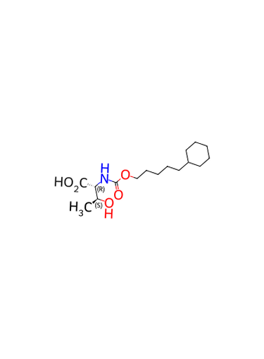 C[C@H](O)[C@@H](NC(=O)OCCCCCC1CCCCC1)C(=O)O